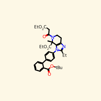 CCOC(=O)CC(=O)N1CCc2nc(CC)n(-c3ccc(-c4ccccc4C(=O)OC(C)(C)C)cc3)c2C1(C)C(=O)OCC